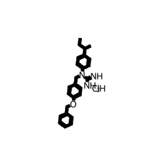 CCC(C)c1ccc(N(Cc2ccc(OCc3ccccc3)cc2)C(=N)N)cc1.Cl